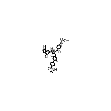 Cc1cc(C[C@H](NC(=O)C2CCC(CNC(=O)O)CC2)C(=O)Nc2cc(Cl)c3cn[nH]c3c2)ccc1-c1ccc(C(=O)NC(C)C)cc1